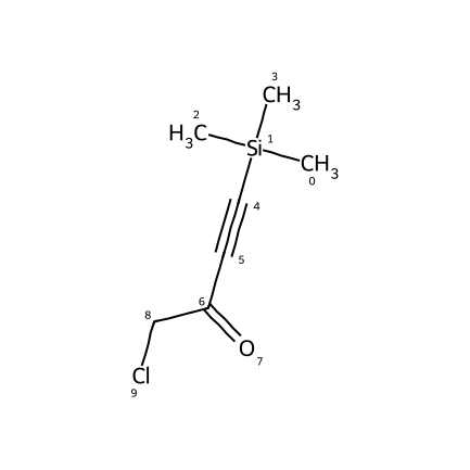 C[Si](C)(C)C#CC(=O)CCl